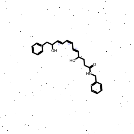 O=C(CCC(O)/C=C/C=C\C=C\C(O)Cc1ccccc1)NCc1ccccc1